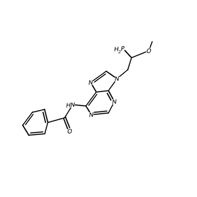 COC(P)Cn1cnc2c(NC(=O)c3ccccc3)ncnc21